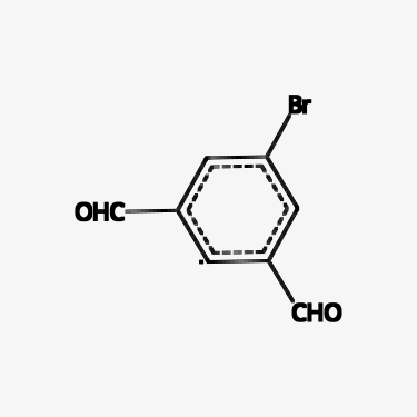 O=Cc1[c]c(C=O)cc(Br)c1